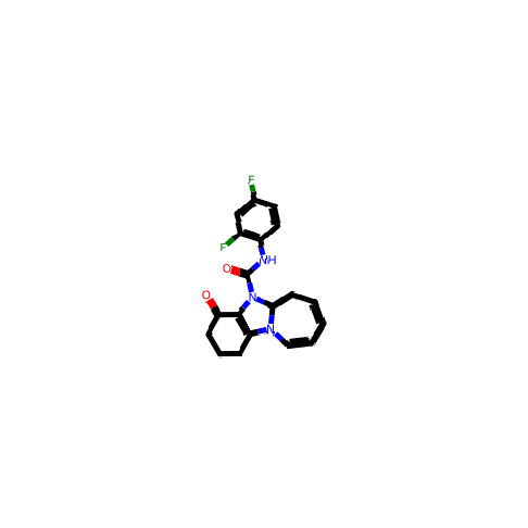 O=C1CCCC2=C1N(C(=O)Nc1ccc(F)cc1F)C1CC=CC=CN21